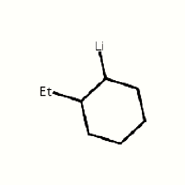 [Li][CH]1CCCCC1CC